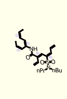 C=C/C=C(\C=C(/C=C)C(=O)NC(/C=C\C)=C/C=C\C)S(=O)(=O)N(CCC)CCCC